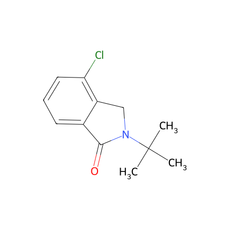 CC(C)(C)N1Cc2c(Cl)cccc2C1=O